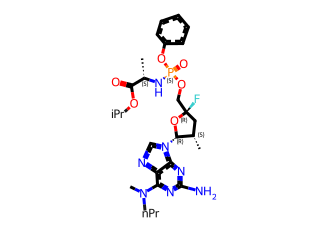 CCCN(C)c1nc(N)nc2c1ncn2[C@@H]1O[C@](F)(CO[P@@](=O)(N[C@@H](C)C(=O)OC(C)C)Oc2ccccc2)C[C@@H]1C